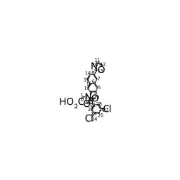 O=C(O)CN(c1ccc2cc(-c3ncco3)ccc2c1)S(=O)(=O)c1cc(Cl)cc(Cl)c1